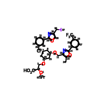 CCCOC(CO[C@@H]1CCC[C@H](OCc2nc(-c3cccc(C(F)(F)F)c3)oc2C)C1)C(=O)O.FC(F)(F)c1cccc(-c2nc(CI)co2)c1